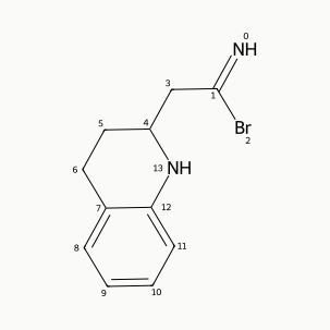 N=C(Br)CC1CCc2ccccc2N1